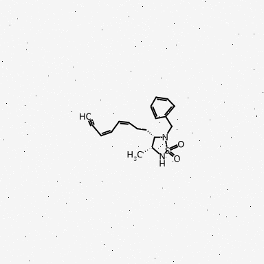 C#C/C=C\C=C/CC[C@H]1[C@@H](C)NS(=O)(=O)N1Cc1ccccc1